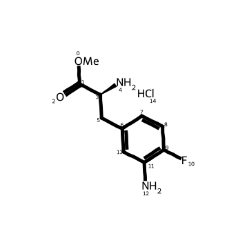 COC(=O)[C@@H](N)Cc1ccc(F)c(N)c1.Cl